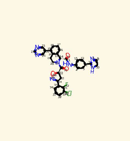 O=C(Nc1ccc(-c2ncc[nH]2)cc1)[C@H]1c2cccc(-c3cncnc3)c2CCN1C(=O)[C@H]1CC(c2cccc(Cl)c2F)=NO1